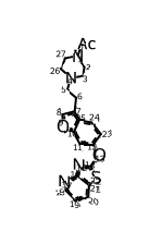 CC(=O)N1CCN(CCc2coc3cc(Oc4nc5ncccc5s4)ccc23)CC1